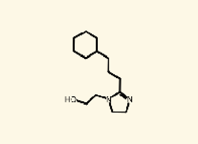 OCCN1CCN=C1CCCC1CCCCC1